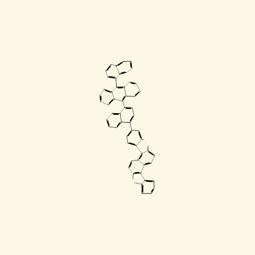 c1ccc2c(-c3c4ccccc4c(-c4ccc(-c5ccc6c(c5)oc5ccc7c(ccc8oc9ccccc9c87)c56)c5ccccc45)c4ccccc34)cccc2c1